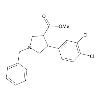 COC(=O)C1CN(Cc2ccccc2)CC1c1ccc(Cl)c(Cl)c1